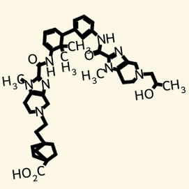 CC(O)CN1CCc2c(nc(C(=O)Nc3cccc(C4C=CC=C(NC(=O)c5nc6c(n5C)CCN(CCC57CCC(C(=O)O)(CC5)C7)C6)C4(C)C)c3)n2C)C1